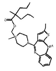 CCCC(C)(CCC)C(=O)OC[N+]1(C)CCN(C2=Nc3ccccc3Nc3sc(C)cc32)CC1